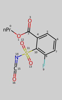 CCCOC(=O)c1cccc(F)c1S(=O)(=O)N=C=O